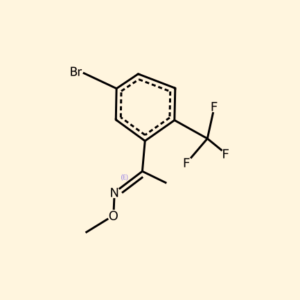 CO/N=C(\C)c1cc(Br)ccc1C(F)(F)F